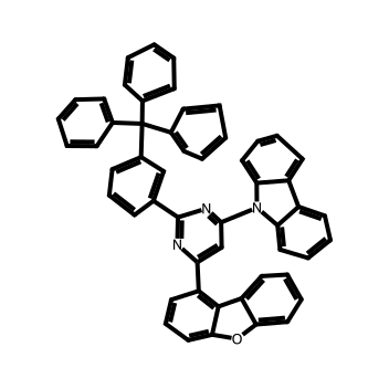 c1ccc(C(c2ccccc2)(c2ccccc2)c2cccc(-c3nc(-c4cccc5oc6ccccc6c45)cc(-n4c5ccccc5c5ccccc54)n3)c2)cc1